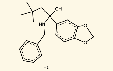 CC(C)(C)CC(O)(NCc1ccccc1)c1ccc2c(c1)OCO2.Cl